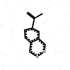 C=C(C)c1ccc2cnncc2c1